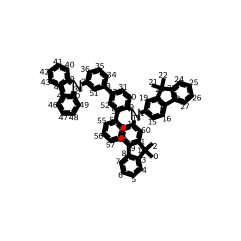 CC1(C)c2ccccc2-c2ccc(N(c3ccc4c(c3)C(C)(C)c3ccccc3-4)c3ccc(-c4cccc(-n5c6ccccc6c6ccccc65)c4)cc3-c3ccccc3)cc21